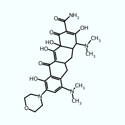 CN(C)c1cc(N2CCOCC2)c(O)c2c1CC1CC3C(N(C)C)C(O)=C(C(N)=O)C(=O)C3(O)C(O)=C1C2=O